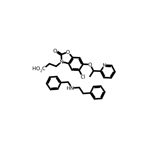 CC(Oc1cc2oc(=O)n(CCC(=O)O)c2cc1Cl)c1ccccn1.c1ccc(CCNCc2ccccc2)cc1